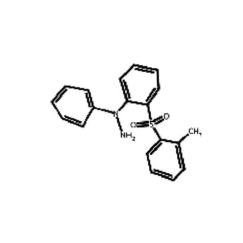 Cc1ccccc1S(=O)(=O)c1ccccc1N(N)c1ccccc1